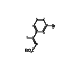 CCOC(=O)C=C(C)c1cccc(Br)c1